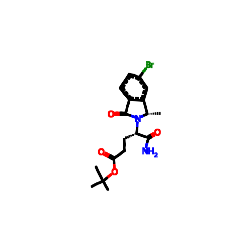 C[C@H]1c2cc(Br)ccc2C(=O)N1[C@@H](CCC(=O)OC(C)(C)C)C(N)=O